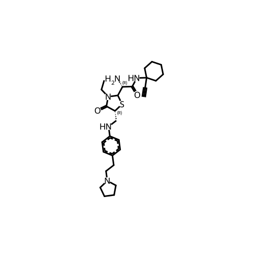 C#CC1(NC(=O)[C@@H](N)C2S[C@H](CNc3ccc(CCN4CCCC4)cc3)C(=O)N2CC)CCCCC1